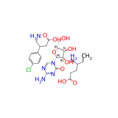 C=CC(N)CCC(=O)O.NCC(CC(=O)O)c1ccc(Cl)cc1.Nc1ncn([C@@H]2O[C@H](CO)[C@@H](O)[C@H]2O)c(=O)n1